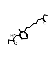 CCC(=O)CCCCCc1cccc(NC(=O)CC)c1C